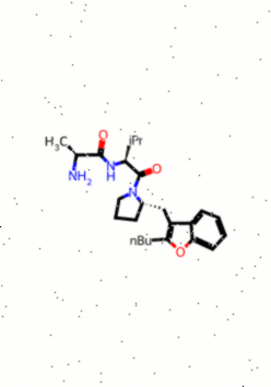 CCCCc1oc2ccccc2c1C[C@@H]1CCCN1C(=O)[C@@H](NC(=O)[C@H](C)N)C(C)C